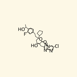 CC(O)c1ccc(CCC2(C3CCCC3)CC(O)=C(Cc3nc4ncc(Cl)cn4n3)C(=O)O2)cc1F